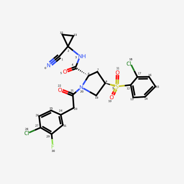 N#CC1(NC(=O)[C@@H]2C[C@@H](S(=O)(=O)c3ccccc3Cl)CN2C(=O)Cc2ccc(Cl)c(F)c2)CC1